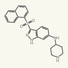 O=S(=O)(c1cccc2ccccc12)c1n[nH]c2cc(NC3CCNCC3)ccc12